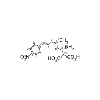 CC(=CC=Cc1ccc([N+](=O)[O-])cc1)C[C@H](N)C(C(=O)O)C(=O)O